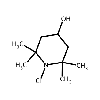 CC1(C)CC(O)CC(C)(C)N1Cl